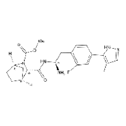 Cc1cn[nH]c1-c1ccc(C[C@@H](N)NC(=O)[C@@H]2[C@H]3CC[C@H](C3)N2C(=O)OC(C)(C)C)c(F)c1